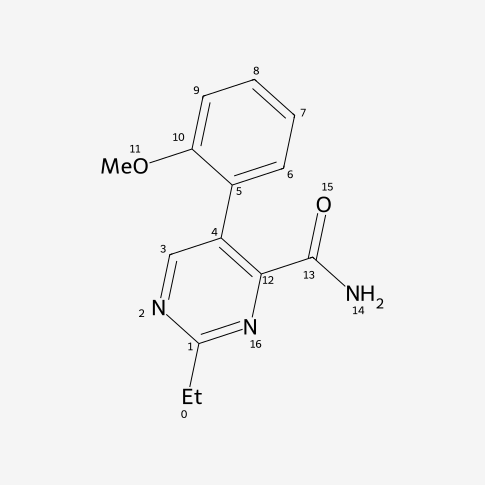 CCc1ncc(-c2ccccc2OC)c(C(N)=O)n1